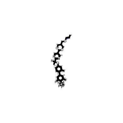 C/C=C/OCC1COC(c2cnc(C(C)(F)Oc3ccc(-c4cc(F)c(S(F)(F)(F)(F)F)c(F)c4)c(F)c3)nc2)OC1